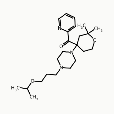 CC(C)OCCCN1CCN(C2(C(=O)c3ccccn3)CCOC(C)(C)C2)CC1